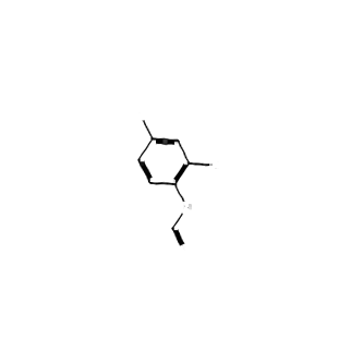 S=[C]Nc1ccc(Cl)cc1Cl